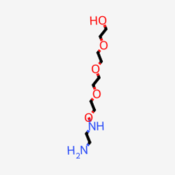 NCCNOCCOCCOCCOCCO